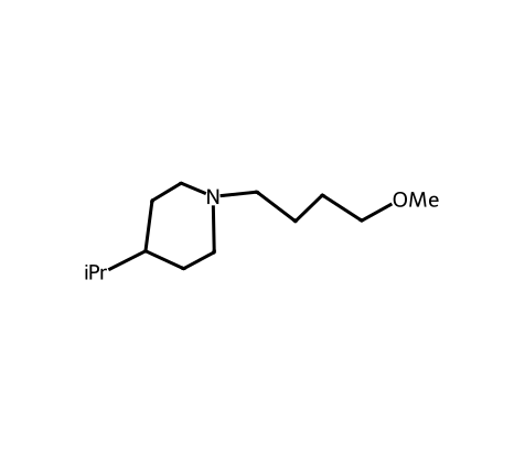 COCCCCN1CCC(C(C)C)CC1